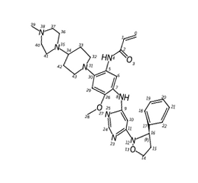 C=CC(=O)Nc1cc(Nc2cc(N3OCC[C@@H]3c3ccccc3)ncn2)c(OC)cc1N1CCC(N2CCN(C)CC2)CC1